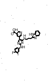 O=C(O)c1cncc(-c2cnc(Nc3ccc(F)c(I)c3)nc2NCCCc2nc3ccccc3[nH]2)c1